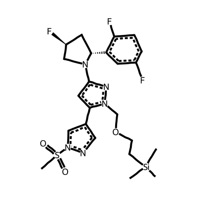 C[Si](C)(C)CCOCn1nc(N2C[C@@H](F)C[C@@H]2c2cc(F)ccc2F)cc1-c1cnn(S(C)(=O)=O)c1